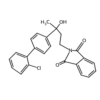 CC(O)(CCN1C(=O)c2ccccc2C1=O)c1ccc(-c2ccccc2Cl)cc1